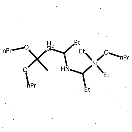 CCCOC(C)(OCCC)[SiH2]C(CC)NC(CC)[Si](CC)(CC)OCCC